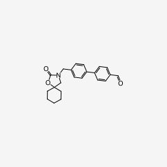 O=Cc1ccc(-c2ccc(CN3CC4(CCCCC4)OC3=O)cc2)cc1